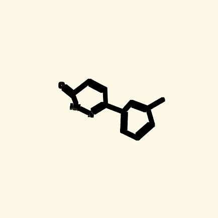 Cc1cccc(-c2ccc(=O)[nH]n2)c1